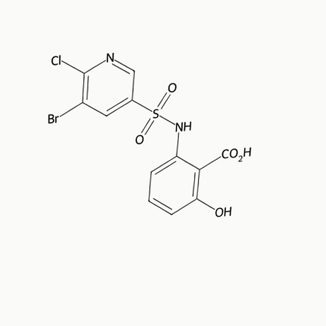 O=C(O)c1c(O)cccc1NS(=O)(=O)c1cnc(Cl)c(Br)c1